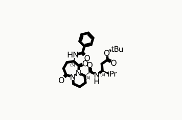 CC(C)[C@H](CC(=O)OC(C)(C)C)NC(=O)[C@@H]1CCCN2C(=O)CC[C@H](NC(=O)c3ccccc3)C(=O)N12